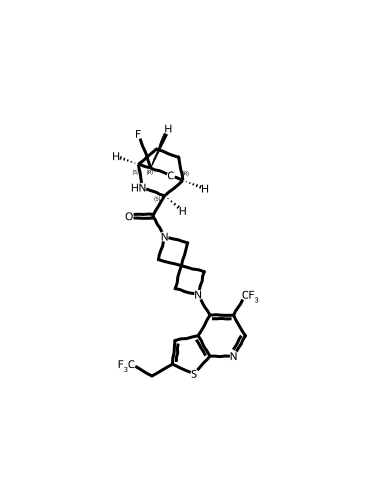 O=C([C@H]1N[C@H]2CC[C@@H]1C[C@H]2F)N1CC2(C1)CN(c1c(C(F)(F)F)cnc3sc(CC(F)(F)F)cc13)C2